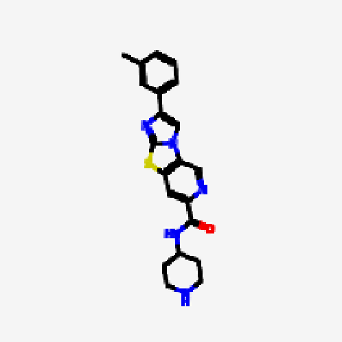 Cc1cccc(-c2cn3c(n2)sc2cc(C(=O)NC4CCNCC4)ncc23)c1